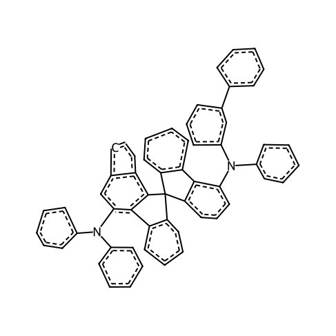 c1ccc(-c2cccc(N(c3ccccc3)c3cccc4c3-c3ccccc3C43c4ccccc4-c4c(N(c5ccccc5)c5ccccc5)cc5ccccc5c43)c2)cc1